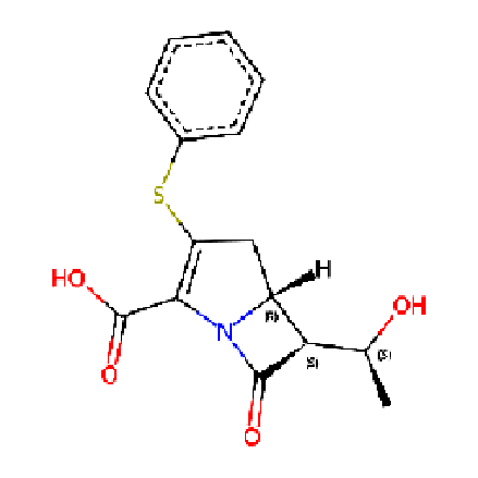 C[C@H](O)[C@H]1C(=O)N2C(C(=O)O)=C(Sc3ccccc3)C[C@H]12